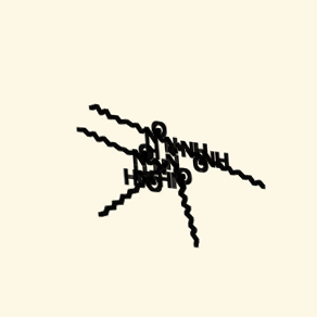 CCCCCCCCCCCCNC(=O)CCN(CCNCCC(=O)NCCCCCCCCCCC)CCN(CCC(=O)NCCCCCCCCCCCC)CCN(CCC(=O)NCCCCCCCCCCCC)CCC(=O)NCCCCCCCCCCCC